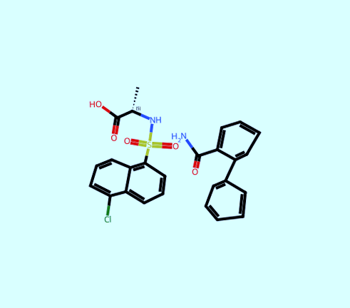 C[C@H](NS(=O)(=O)c1cccc2c(Cl)cccc12)C(=O)O.NC(=O)c1ccccc1-c1ccccc1